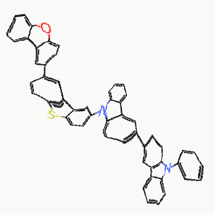 C1=C(c2ccc3c(c2)c2ccccc2n3-c2ccc3sc4ccc(-c5ccc6oc7ccccc7c6c5)cc4c3c2)CCc2c1c1ccccc1n2-c1ccccc1